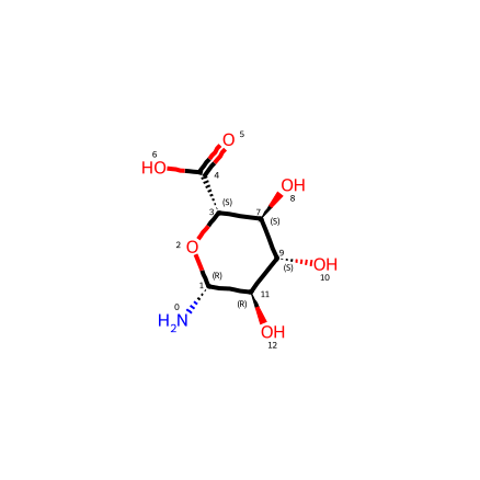 N[C@@H]1O[C@H](C(=O)O)[C@@H](O)[C@H](O)[C@H]1O